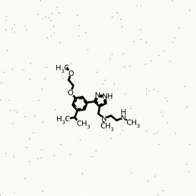 CNCCN(C)Cc1c[nH]nc1-c1cc(OCCOC)cc(C(C)C)c1